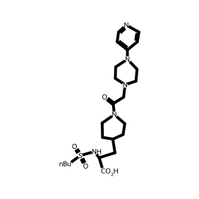 CCCCS(=O)(=O)NC(CC1CCN(C(=O)CN2CCN(c3ccncc3)CC2)CC1)C(=O)O